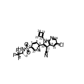 C[C@@H](NS(=O)(=O)c1ccc(-c2c(C#N)c3cc(Cl)cnc3n2C2=CC=C2)nc1)C(F)(F)F